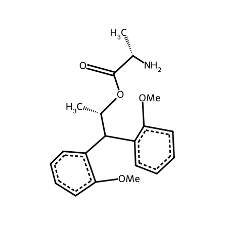 COc1ccccc1C(c1ccccc1OC)[C@H](C)OC(=O)[C@H](C)N